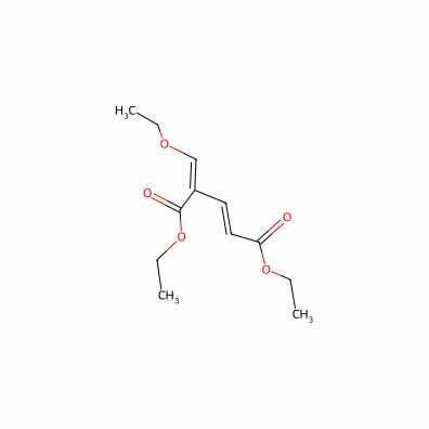 CCOC=C(C=CC(=O)OCC)C(=O)OCC